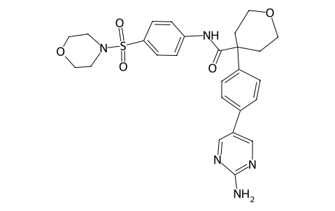 Nc1ncc(-c2ccc(C3(C(=O)Nc4ccc(S(=O)(=O)N5CCOCC5)cc4)CCOCC3)cc2)cn1